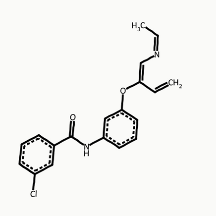 C=C/C(=C\N=C/C)Oc1cccc(NC(=O)c2cccc(Cl)c2)c1